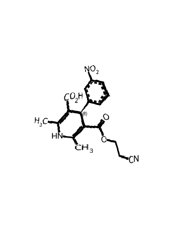 CC1=C(C(=O)O)[C@@H](c2cccc([N+](=O)[O-])c2)C(C(=O)OCCC#N)=C(C)N1